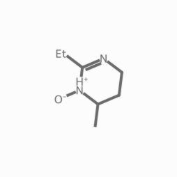 CCC1=NCCC(C)[NH+]1[O-]